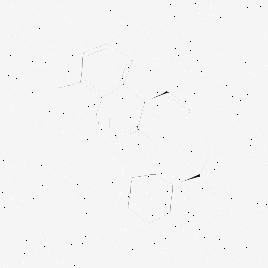 CC(C)[C@H]1CC[C@H](C)C[C@@H]1OC(=O)[C@H](C=O)c1cccc(Cl)c1O